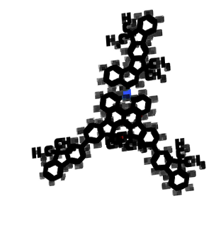 CC1(C)c2ccccc2-c2ccc(-c3ccc4c(c3)C(C)(C)c3cc(-c5ccccc5N(c5ccccc5-c5ccc6c(c5)C(C)(C)c5cc(-c7ccc8c(c7)C(C)(C)c7ccccc7-8)ccc5-6)c5cc6c(c7ccccc57)-c5cc7c(cc5C6(C)C)-c5ccccc5C7(C)C)ccc3-4)cc21